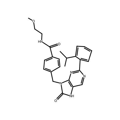 COCCNC(=O)c1ccc(Cn2c(=O)[nH]c3cnc(-c4ccccc4C(C)C)nc32)cc1